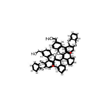 OCc1ccc(Oc2ccc3ccccc3c2-c2c(Oc3ccc(CO)cc3-c3cccc4c3Sc3ccccc3S4)ccc3ccccc23)c(-c2cccc3c2Sc2ccccc2S3)c1